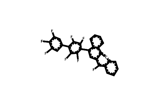 Fc1cc(-c2c(F)c(F)c(-c3cc4c(F)c5ccccc5cc4c4ccccc34)c(F)c2F)cc(F)c1F